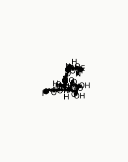 C/N=C/[C@H]1CC(F)(F)CN1C(=O)CNC(=O)c1ccnc2ccc(OCCCN3CCN(C(=O)[C@H](CC(=O)OC)NC(=O)[C@H](CCOCCNC(=O)CCCc4ccc(I)cc4)NC(=O)CN4CCN(CC(=O)O)CCN(CC(=O)O)CCN(CC(=O)O)CC4)CC3)cc12